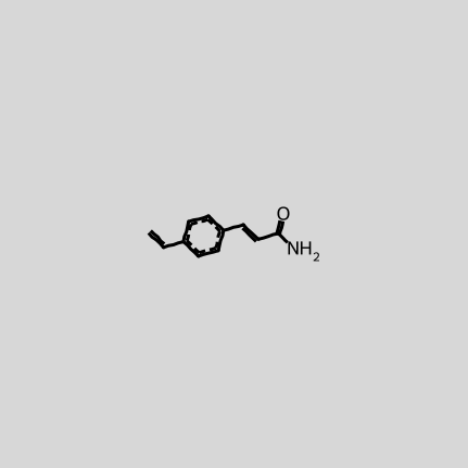 C=Cc1ccc(/C=C/C(N)=O)cc1